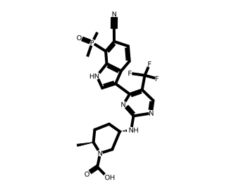 C[C@H]1CC[C@H](Nc2ncc(C(F)(F)F)c(-c3c[nH]c4c(P(C)(C)=O)c(C#N)ccc34)n2)CN1C(=O)O